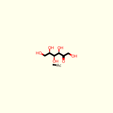 CC(C)=O.O=C(CO)[C@H](O)[C@@H](O)[C@H](O)CO